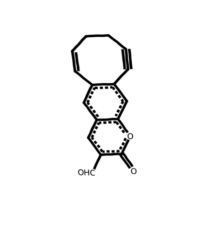 O=Cc1cc2cc3c(cc2oc1=O)C#CCC/C=C\3